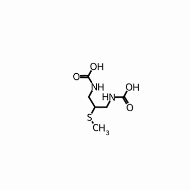 CSC(CNC(=O)O)CNC(=O)O